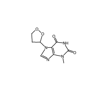 Cn1c(=O)[nH]c(=O)c2c1ncn2C1CCOO1